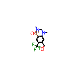 CN1CN(C)[S+]([O-])c2cc(C(F)(F)F)c(C=O)cc21